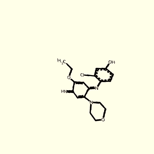 CCOC1=C/C(=N\c2ccc(O)cc2Cl)C(N2CCOCC2)=CC1=N